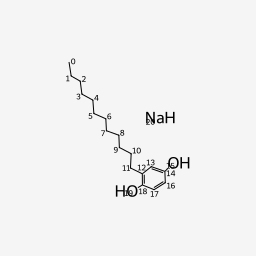 CCCCCCCCCCCCc1cc(O)ccc1O.[NaH]